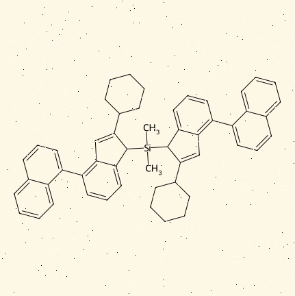 C[Si](C)(C1C(C2CCCCC2)=Cc2c(-c3cccc4ccccc34)cccc21)C1C(C2CCCCC2)=Cc2c(-c3cccc4ccccc34)cccc21